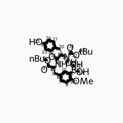 CCCCOC(=O)[C@H](Cc1ccc(OC)c(B(O)O)c1)NC(=O)[C@H](Cc1ccc(O)cc1)N(C)C(=O)OC(C)(C)C